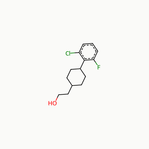 OCCC1CCC(c2c(F)cccc2Cl)CC1